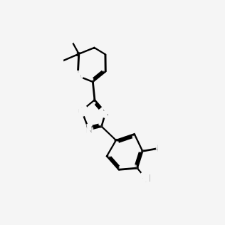 CC1(C)CCC=C(c2nc(-c3ccc(Cl)c(F)c3)no2)O1